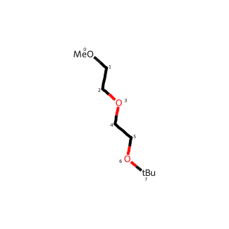 COCCOCCOC(C)(C)C